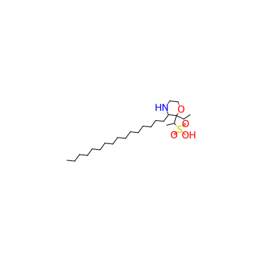 CCCCCCCCCCCCCCCCC1NCCOC1(CC)C(C)S(=O)(=O)O